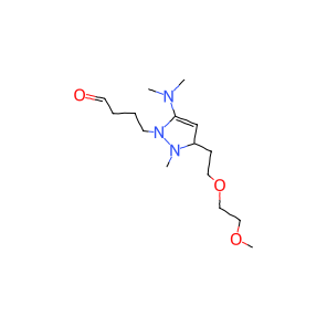 COCCOCCC1C=C(N(C)C)N(CCCC=O)N1C